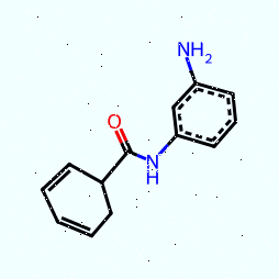 Nc1cccc(NC(=O)C2C=CC=CC2)c1